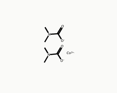 CN(C)C(=O)[O-].CN(C)C(=O)[O-].[Co+2]